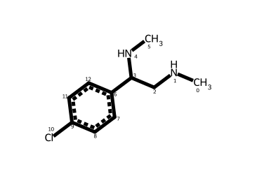 CNCC(NC)c1ccc(Cl)cc1